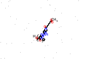 COC(=O)CCCCCCC(=O)N1CCc2nc(Nc3ncc4c(C)c(C(C)=O)c(=O)n(C5CCCC5)c4n3)ccc2C1